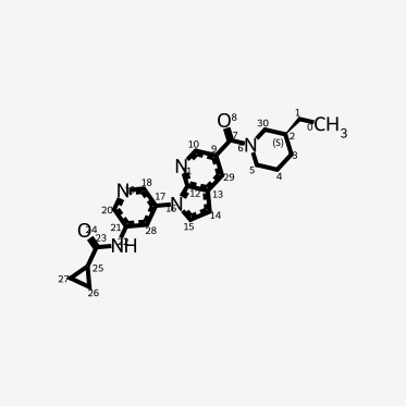 CC[C@H]1CCCN(C(=O)c2cnc3c(ccn3-c3cncc(NC(=O)C4CC4)c3)c2)C1